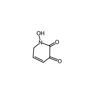 O=C1C=CCN(O)C1=O